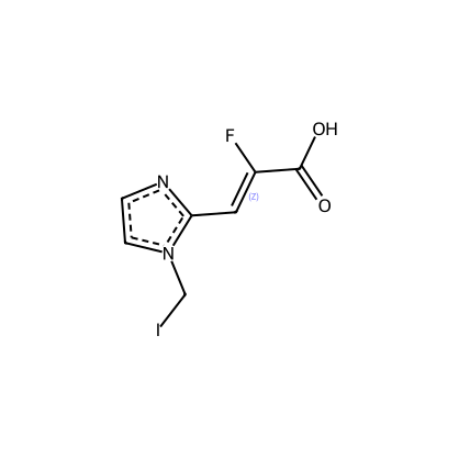 O=C(O)/C(F)=C/c1nccn1CI